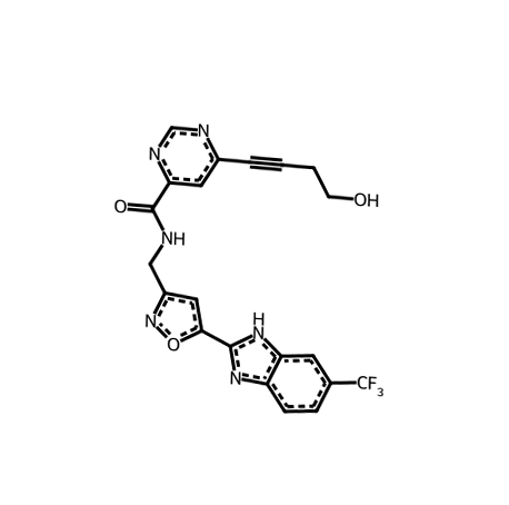 O=C(NCc1cc(-c2nc3ccc(C(F)(F)F)cc3[nH]2)on1)c1cc(C#CCCO)ncn1